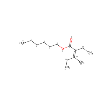 CCCCCCOC(=O)C(CC)=C(C)CC